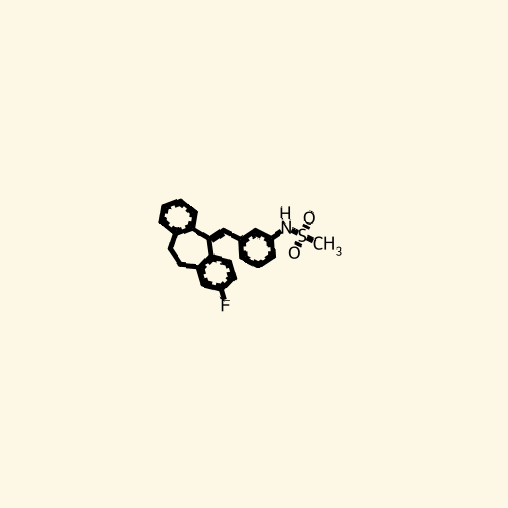 CS(=O)(=O)Nc1cccc(/C=C2/c3ccccc3CCc3cc(F)ccc32)c1